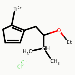 CCOC(CC1=[C]([Ti+2])CC=C1)[SiH](C)C.[Cl-].[Cl-]